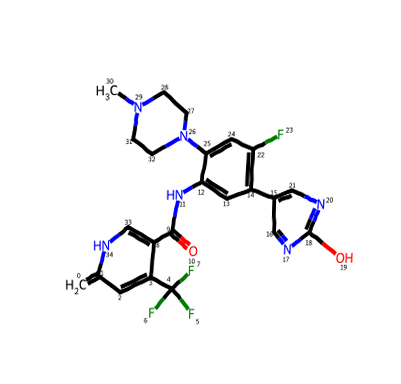 C=C1C=C(C(F)(F)F)C(C(=O)Nc2cc(-c3cnc(O)nc3)c(F)cc2N2CCN(C)CC2)=CN1